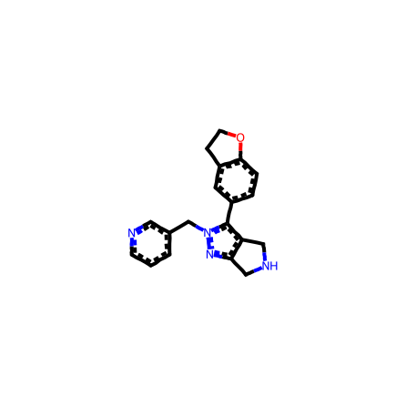 c1cncc(Cn2nc3c(c2-c2ccc4c(c2)CCO4)CNC3)c1